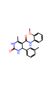 COc1ccccc1NC(=O)C1=C(C)NC(=O)NC1c1cccc(C)c1